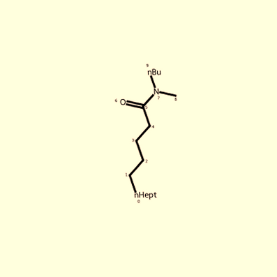 [CH2]CCCCCCCCCCC(=O)N(C)CCCC